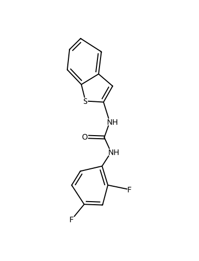 O=C(Nc1cc2ccccc2s1)Nc1ccc(F)cc1F